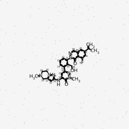 C=C(C)c1cc(F)c2c(=O)n(-c3cccc(-c4cc(Nc5cc6n(n5)CCN(C)C6)c(=O)n(C)n4)c3CO)ncc2c1